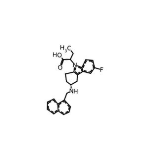 CCC(C(=O)O)n1c2c(c3cc(F)ccc31)C[C@@H](NCc1cccc3ccccc13)CC2